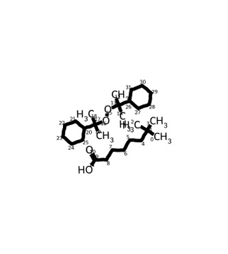 CC(C)(C)CCCCCC(=O)O.CC(C)(OOC(C)(C)C1CCCCC1)C1CCCCC1